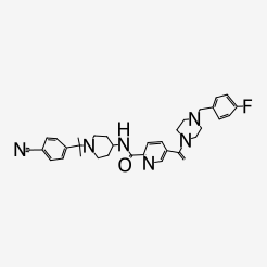 C=C(c1ccc(C(=O)NC2CCN(C(C)(C)c3ccc(C#N)cc3)CC2)nc1)N1CCN(Cc2ccc(F)cc2)CC1